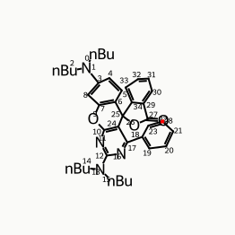 CCCCN(CCCC)c1ccc2c(c1)Oc1nc(N(CCCC)CCCC)nc(-c3ccccc3)c1C21OC(=O)c2ccccc21